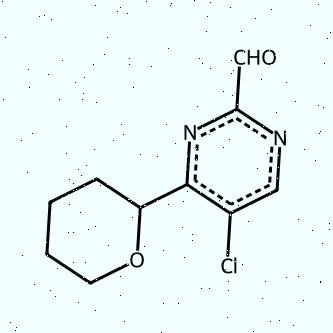 O=Cc1ncc(Cl)c(C2CCCCO2)n1